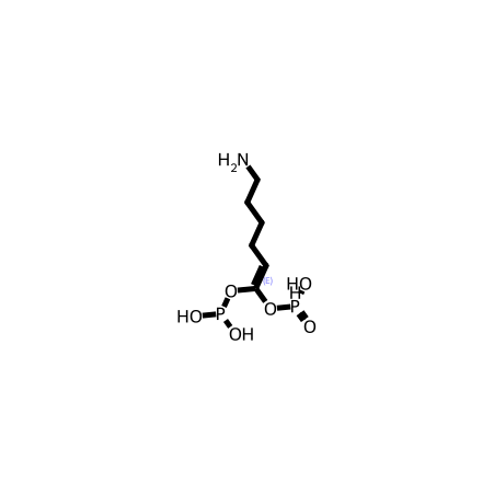 NCCCC/C=C(\OP(O)O)O[PH](=O)O